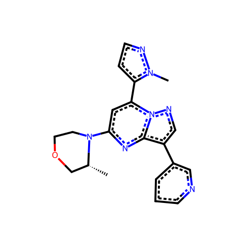 C[C@@H]1COCCN1c1cc(-c2ccnn2C)n2ncc(-c3cccnc3)c2n1